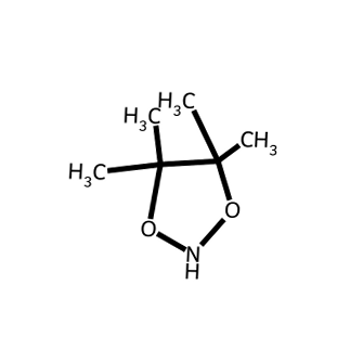 CC1(C)ONOC1(C)C